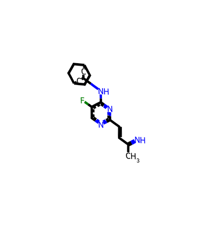 CC(=N)/C=C/c1ncc(F)c(NC2CC3CCC(CC3)C2)n1